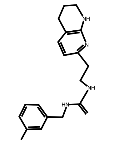 C=C(NCCc1ccc2c(n1)NCCC2)NCc1cccc(C)c1